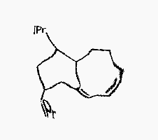 CC(C)C1CC(C(C)C)C2CCC=CC=C12